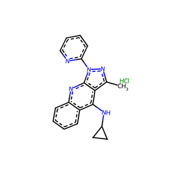 Cc1nn(-c2ccccn2)c2nc3ccccc3c(NC3CC3)c12.Cl